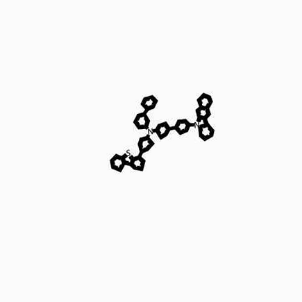 c1ccc(-c2cccc(N(c3ccc(-c4ccc(-n5c6ccccc6c6cc7ccccc7cc65)cc4)cc3)c3ccc(-c4cccc5c4sc4ccccc45)cc3)c2)cc1